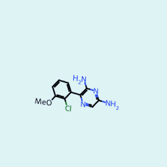 COc1cccc(-c2ncc(N)nc2N)c1Cl